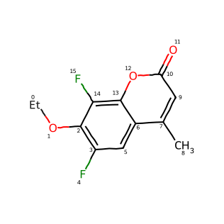 CCOc1c(F)cc2c(C)cc(=O)oc2c1F